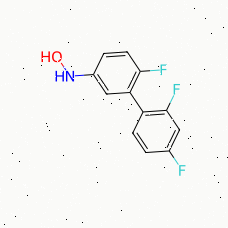 ONc1ccc(F)c(-c2ccc(F)cc2F)c1